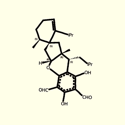 CC(C)C[C@@H]1c2c(O)c(C=O)c(O)c(C=O)c2O[C@@H]2C[C@]3(C[C@]12C)C(C(C)C)=CCC[C@@H]3C